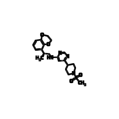 C[C@H](CNc1cc(C2CCN(S(C)(=O)=O)CC2)ncn1)c1cccc2c1OCCO2